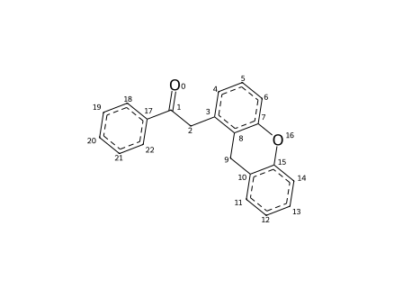 O=C(Cc1cccc2c1Cc1ccccc1O2)c1ccccc1